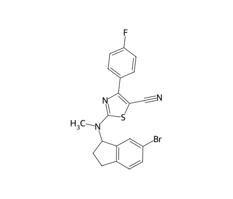 CN(c1nc(-c2ccc(F)cc2)c(C#N)s1)C1CCc2ccc(Br)cc21